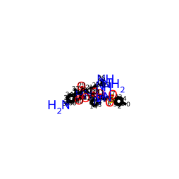 Cc1ccc(S(=O)(=O)NCC(=O)N2CCC[C@H]2C(=O)N[C@@H](CCCNC(=N)N)C(=O)c2c(C)c3ccc(N)cc3oc2=O)cc1